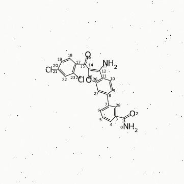 NC(=O)c1cccc(-c2ccc3c(N)c(C(=O)c4ccc(Cl)cc4Cl)oc3c2)c1